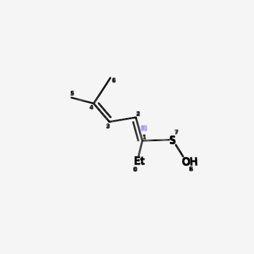 CC/C(=C\C=C(C)C)SO